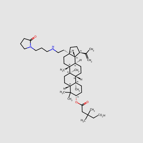 C=C(C)[C@@H]1CC[C@]2(CCNCCCN3CCCC3=O)CC[C@]3(C)[C@H](CC[C@@H]4[C@@]5(C)CC[C@H](OC(=O)CC(C)(C)CC(=O)O)C(C)(C)[C@@H]5CC[C@]43C)[C@@H]12